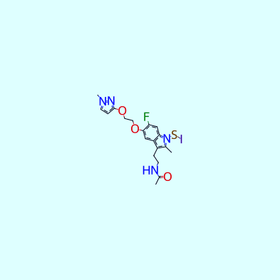 CC(=O)NCCc1c(C)n(SI)c2cc(F)c(OCCOc3ccn(C)n3)cc12